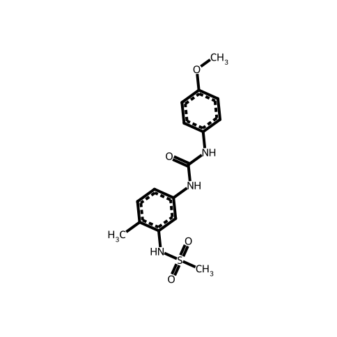 COc1ccc(NC(=O)Nc2ccc(C)c(NS(C)(=O)=O)c2)cc1